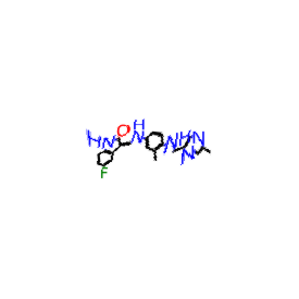 Cc1cnc(CNc2ccc(NC=C3C(=O)Nc4ccc(F)cc43)cc2C)cn1